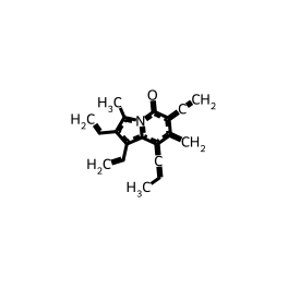 C=C=c1c(=C)c(=C=CC)c2c(C=C)c(C=C)c(C)n2c1=O